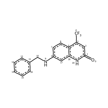 O=c1cc(C(F)(F)F)c2ccc(NCc3ccccc3)cc2[nH]1